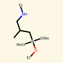 CCNCC(C)C[Si](OC)(OC)OCC